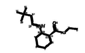 CCOC(=O)[C@H]1CCCC[C@H]1NCCC(C)(C)C